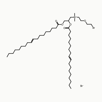 CCCCCCCCC=CCCCCCCCC(=O)OCC(C[N+](C)(C)CCOCCBr)OC(=O)CCCCCCCC=CCCCCCCCC.[Br-]